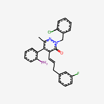 Cc1nn(Cc2ccccc2Cl)c(=O)c(/C=C/Cc2cccc(F)c2)c1-c1ccccc1P